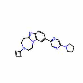 C1=CC(N2CCc3nc4ccc(-c5cnc(N6CCCC6)cn5)cc4n3CC2)=C1